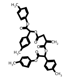 C=C(CC(=O)OC(C(=O)Oc1ccc(C)cc1)c1ccc(C)cc1)C(=O)OC(C(=O)Oc1ccc(C)cc1)c1ccc(C)cc1